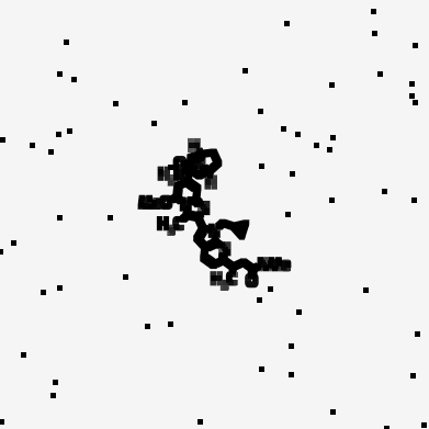 CNC(=O)CC(C)c1ccc2cc(-c3nc4cc(C(=O)N5[C@@H]6CC[C@H]5C[C@@H](N)C6)cc(OC)n4c3C)n(CC3CC3)c2n1